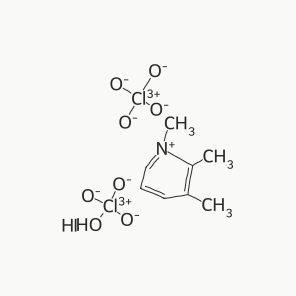 Cc1ccc[n+](C)c1C.I.[O-][Cl+3]([O-])([O-])O.[O-][Cl+3]([O-])([O-])[O-]